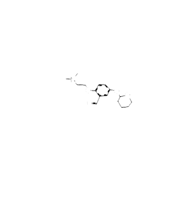 CN(C)CCOc1ccc(OC2CCCCO2)cc1C=O